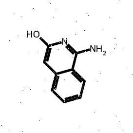 Nc1nc(O)cc2ccccc12